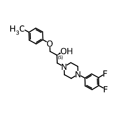 Cc1ccc(OC[C@@H](O)CN2CCN(c3ccc(F)c(F)c3)CC2)cc1